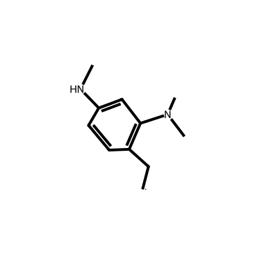 [CH2]Cc1ccc(NC)cc1N(C)C